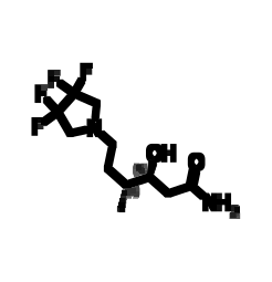 C[C@H](CCN1CC(F)(F)C(F)(F)C1)[C@@H](O)CC(N)=O